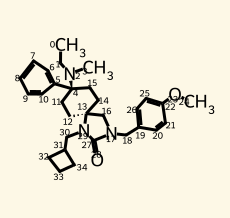 CCN(C)[C@]1(c2ccccc2)CC[C@]2(CC1)CN(Cc1ccc(OC)cc1)C(=O)N2CC1CCC1